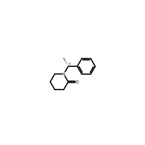 C[C@H](c1ccccc1)N1CCCCC1=O